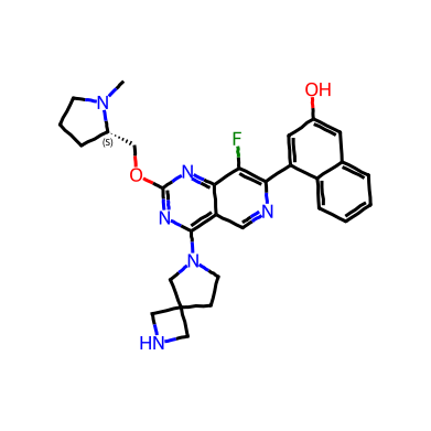 CN1CCC[C@H]1COc1nc(N2CCC3(CNC3)C2)c2cnc(-c3cc(O)cc4ccccc34)c(F)c2n1